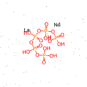 O=P(O)(O)OP(=O)(O)OP(=O)(O)OP(=O)(O)OP(=O)(O)O.[La].[Nd]